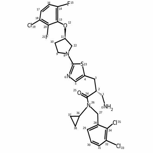 NC[C@@H](Cc1cnc(N2CC[C@@H](Oc3c(F)ccc(Cl)c3F)C2)s1)C(=O)N(Cc1cccc(Cl)c1Cl)C1CC1